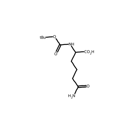 CC(C)(C)OC(=O)NC(CCCC(N)=O)C(=O)O